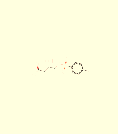 Cc1ccc(S(=O)(=O)OC[C@@H](O)CC(=O)O)cc1